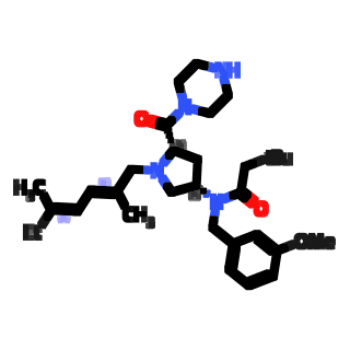 CC/C(C)=C/C=C(\C)CN1C[C@@H](N(Cc2cccc(OC)c2)C(=O)CC(C)(C)C)C[C@H]1C(=O)N1CCNCC1